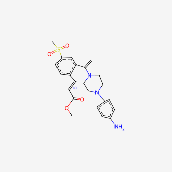 C=C(c1cc(S(C)(=O)=O)ccc1/C=C/C(=O)OC)N1CCN(c2ccc(N)cc2)CC1